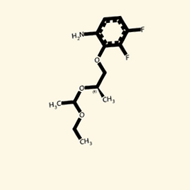 CCOC(C)O[C@H](C)COc1c(N)ccc(F)c1F